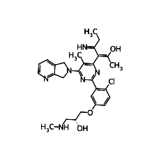 CCC(=N)/C(=C(/C)O)c1nc(-c2cc(OC[C@H](O)CNC)ccc2Cl)nc(N2Cc3cccnc3C2)c1C